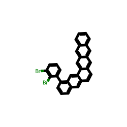 Brc1cccc(-c2cccc3cc4ccc5cc6cc7ccccc7cc6cc5c4cc23)c1Br